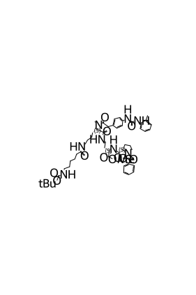 COC(=O)[C@H](CCNC(=O)[C@H](CCCCNC(=O)CCCCCNC(=O)OC(C)(C)C)N(C)C(=O)Cc1ccc(NC(=O)Nc2ccccc2C)cc1)NC(=O)[C@@H]1CCCN1S(=O)(=O)c1ccccc1